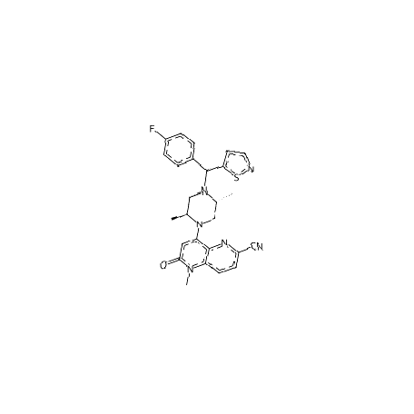 C[C@@H]1CN(c2cc(=O)n(C)c3ccc(C#N)nc23)[C@@H](C)CN1C(c1ccc(F)cc1)c1ccns1